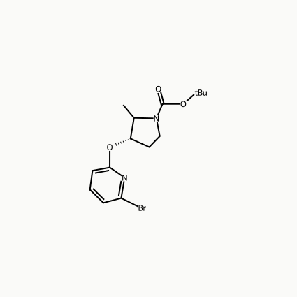 CC1[C@@H](Oc2cccc(Br)n2)CCN1C(=O)OC(C)(C)C